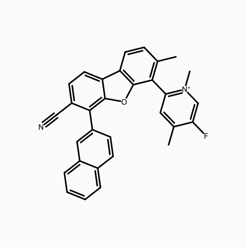 Cc1cc(-c2c(C)ccc3c2oc2c(-c4ccc5ccccc5c4)c(C#N)ccc23)[n+](C)cc1F